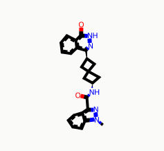 Cn1nc(C(=O)N[C@H]2CC3(C2)C[C@H](c2n[nH]c(=O)c4ccccc42)C3)c2ccccc21